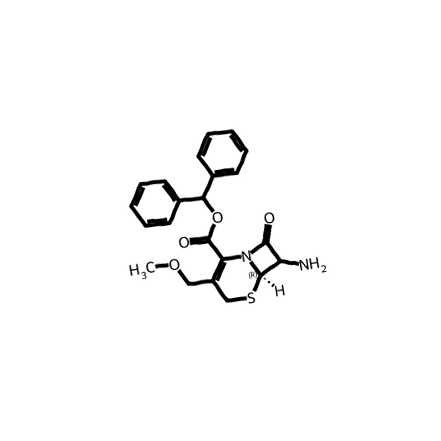 COCC1=C(C(=O)OC(c2ccccc2)c2ccccc2)N2C(=O)C(N)[C@H]2SC1